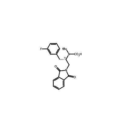 CC(C)(C)N(C(=O)O)[C@@H](Cc1cccc(F)c1)CN1C(=O)c2ccccc2C1=O